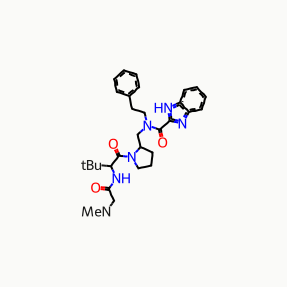 CNCC(=O)NC(C(=O)N1CCCC1CN(CCc1ccccc1)C(=O)c1nc2ccccc2[nH]1)C(C)(C)C